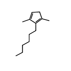 CCCCCCC1=C(C)CC=C1C